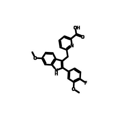 COc1ccc2c(Cc3cccc(C(=O)O)n3)c(-c3ccc(F)c(OC)c3)[nH]c2c1